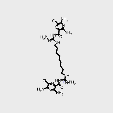 Nc1nc(N)c(C(=O)N/C(=N\P)NCCCCCCCCCN/C(=N\P)NC(=O)c2nc(Cl)c(N)nc2N)nc1Cl